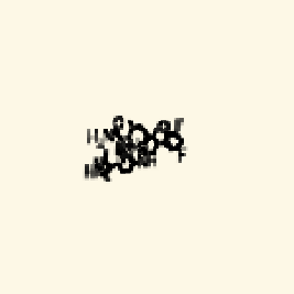 Cc1n[nH]c(C)c1-c1ccc(NC(=O)CC2c3cc(F)cc(F)c3OCC23CC3CC(C)c2nonc2C(N)=O)cn1